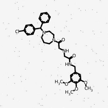 COc1cc(CNC(=O)CNCC(=O)N2CCCN(C(c3ccccc3)c3ccc(Cl)cc3)CC2)cc(OC)c1OC